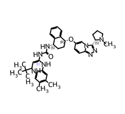 Cc1ccc(N/C(=C\C(=N)C(C)(C)C)NC(=O)N[C@H]2CC[C@@H](Oc3ccc4nnc([C@@H]5CCCN5C)n4c3)c3ccccc32)cc1C